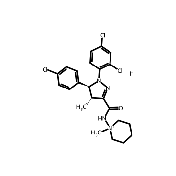 C[C@H]1C(C(=O)N[N+]2(C)CCCCC2)=NN(c2ccc(Cl)cc2Cl)[C@@H]1c1ccc(Cl)cc1.[I-]